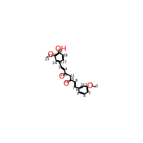 COc1cccc(/C=C/C(=O)CC(=O)/C=C/c2ccc(O)c(OC)c2)c1